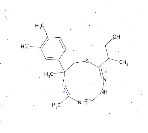 CC1=C/C(C)(c2ccc(C)c(C)c2)CS/C(C(C)CO)=N\N/C=N\1